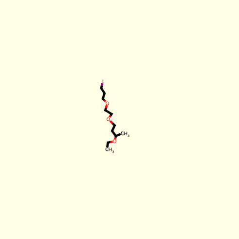 CCOC(C)CCOCCOCCCI